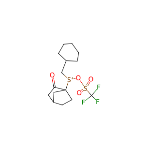 O=C1CC2CCC1([S+](CC1CCCCC1)OS(=O)(=O)C(F)(F)F)C2